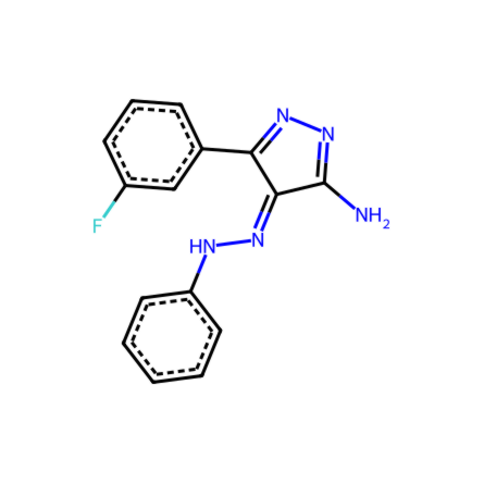 NC1=NN=C(c2cccc(F)c2)/C1=N\Nc1ccccc1